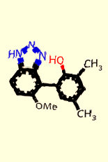 COc1ccc2[nH]nnc2c1-c1cc(C)cc(C)c1O